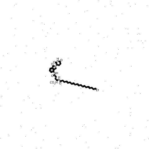 CCC=CCC=CCC=CCC=CCC=CCC=CCCC(=O)NC(CCC(=O)Nc1cccc2c1CN(C1CCC(=O)NC1=O)C2=O)C(=O)O